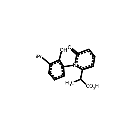 CC(C)c1cccc(-n2c(C(C)C(=O)O)cccc2=O)c1O